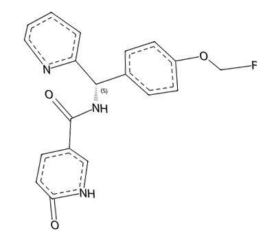 O=C(N[C@@H](c1ccc(OCF)cc1)c1ccccn1)c1ccc(=O)[nH]c1